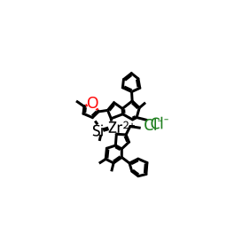 CCC1=Cc2c(cc(C)c(C)c2-c2ccccc2)[CH]1[Zr+2]([CH]1C(c2ccc(C)o2)=Cc2c1cc(C)c(C)c2-c1ccccc1)=[Si](C)C.[Cl-].[Cl-]